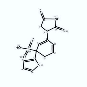 O=C1CN(C2=CC(c3cccs3)(S(=O)(=O)O)CC=C2)C(=O)N1